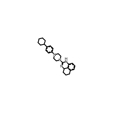 c1cc2c3c(c1)NC(N1CCN(c4ccc(C5CCCCC5)cc4)CC1)=NC3CCC2